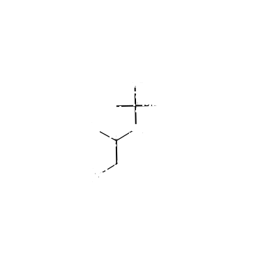 CC(C)(C)SC(S)CN